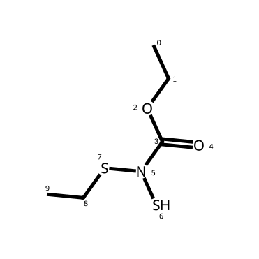 CCOC(=O)N(S)SCC